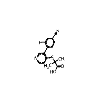 CC(C)(Sc1ccncc1-c1ccc(C#N)cc1F)C(=O)O